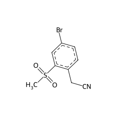 CS(=O)(=O)c1cc(Br)ccc1CC#N